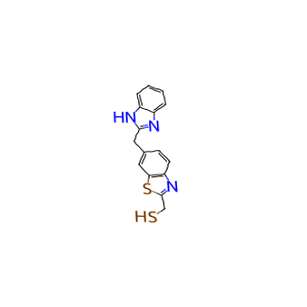 SCc1nc2ccc(Cc3nc4ccccc4[nH]3)cc2s1